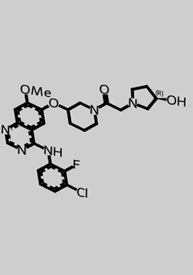 COc1cc2ncnc(Nc3cccc(Cl)c3F)c2cc1OC1CCCN(C(=O)CN2CC[C@@H](O)C2)C1